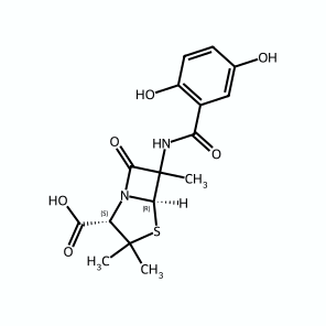 CC1(C)S[C@H]2N(C(=O)C2(C)NC(=O)c2cc(O)ccc2O)[C@H]1C(=O)O